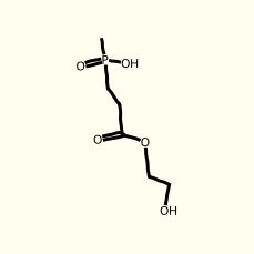 CP(=O)(O)CCC(=O)OCCO